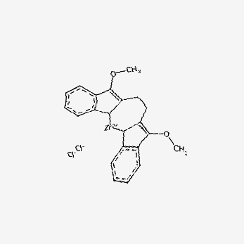 COC1=C2CCC3=C(OC)c4ccccc4[CH]3[Zr+2][CH]2c2ccccc21.[Cl-].[Cl-]